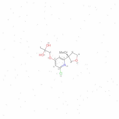 CO[C@@]1(c2cc(OCC(C)(O)O)cc(Cl)n2)CCOC1